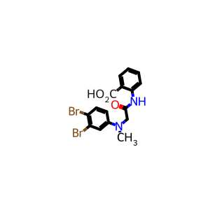 CN(CC(=O)Nc1ccccc1C(=O)O)c1ccc(Br)c(Br)c1